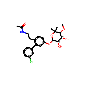 COC1[C@@H](O)[C@@H](O)C(Oc2ccc(CCNC(C)=O)c(-c3cccc(Cl)c3)c2)OC1(C)C